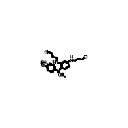 C=C(c1ccc(OC)cc1)c1ccc(NCCCCl)cc1NCCCCl